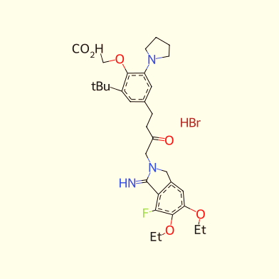 Br.CCOc1cc2c(c(F)c1OCC)C(=N)N(CC(=O)CCc1cc(N3CCCC3)c(OCC(=O)O)c(C(C)(C)C)c1)C2